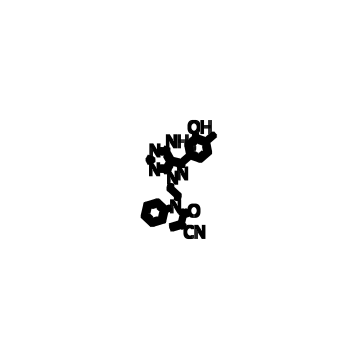 C=C(C#N)C(=O)N(CCn1nc(-c2ccc(C)c(O)c2)c2c(N)ncnc21)c1ccccc1